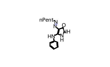 CCCCC/N=N/c1c(Nc2ccccc2)[nH][nH]c1=O